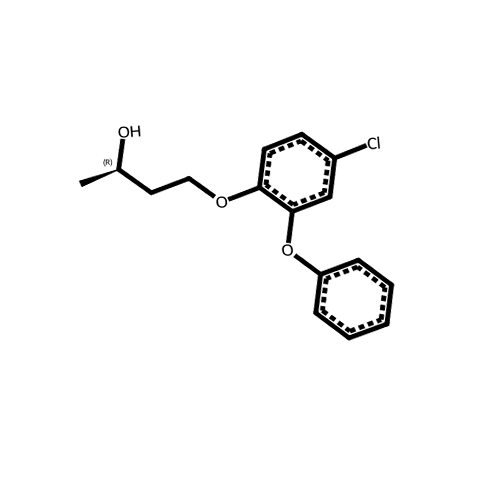 C[C@@H](O)CCOc1ccc(Cl)cc1Oc1ccccc1